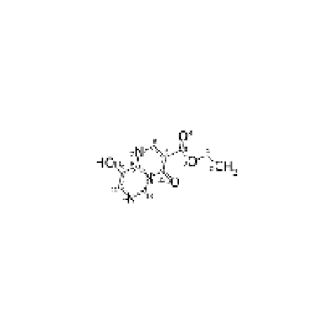 CCOC(=O)c1cnc2c(O)cncn2c1=O